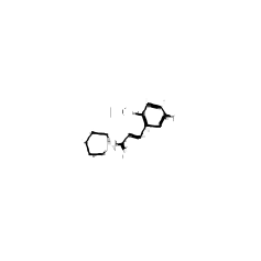 O=C(/C=C/c1cc(Cl)ccc1O)N1CCCCC1